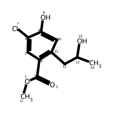 COC(=O)c1cc(Cl)c(O)cc1CC(C)O